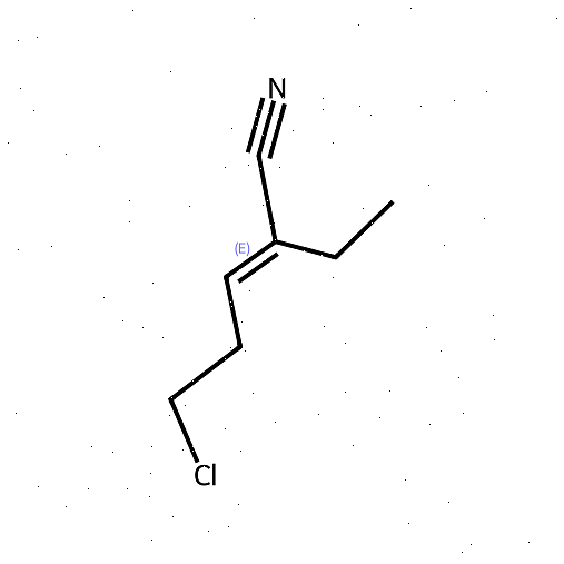 CC/C(C#N)=C\CCCl